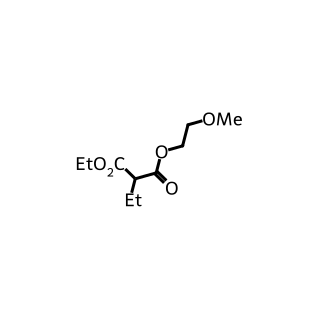 CCOC(=O)C(CC)C(=O)OCCOC